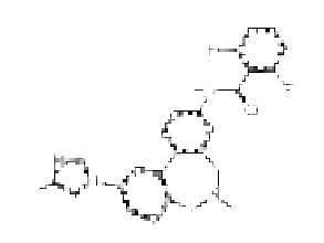 Cc1cn(-c2ccc3c(c2)-c2ccc(NC(=O)c4c(F)cccc4F)cc2CN(C)C3)cn1